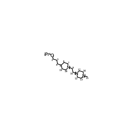 CC(C)OCCCC1CCN(CCN2CCN(C)CC2)CC1